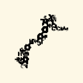 COC(=O)C[C@@H]1N=C(c2ccc(-c3ccc(C(=O)NCCc4ccc(S(=O)(=O)Nc5ccc(C)c6c(C#N)c[nH]c56)cc4)c(F)c3F)cc2)c2c(sc(C)c2C)-n2c(C)nnc21